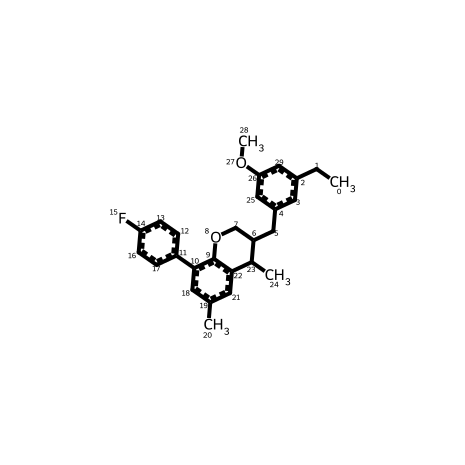 CCc1cc(CC2COc3c(-c4ccc(F)cc4)cc(C)cc3C2C)cc(OC)c1